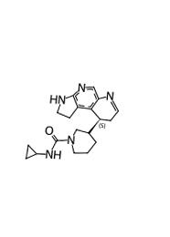 O=C(NC1CC1)N1CCCC([C@@H]2CC=Nc3cnc4c(c32)CCN4)C1